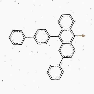 Brc1c2ccccc2c(-c2ccc(-c3ccccc3)cc2)c2cc(-c3ccccc3)ccc12